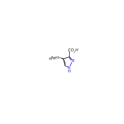 CCCCCc1c[nH]nc1C(=O)O